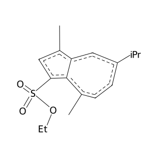 CCOS(=O)(=O)c1cc(C)c2cc(C(C)C)ccc(C)c1-2